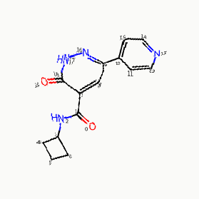 O=C(NC1CCC1)c1cc(-c2ccncc2)n[nH]c1=O